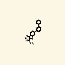 Nc1ncnc2c1sc1cc(-c3cccc(-c4ccccc4)c3)ccc12